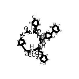 O=C1COc2ccc(cc2)C[C@@H](C(=O)O)NC(=O)[C@H](CCc2ccccc2)NC(=O)[C@@H](Cc2ccc(-c3ccccc3)cc2)NC(=O)[C@H](Cc2ccc(Cl)cc2)N1